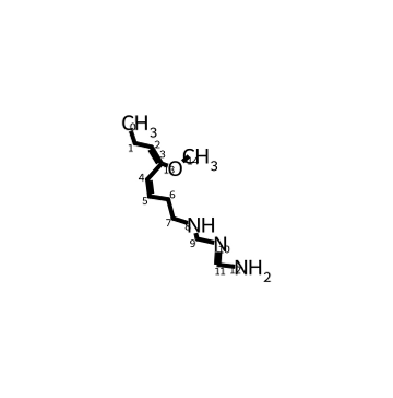 CC/C=C(\C=C/CCNC/N=C/N)OC